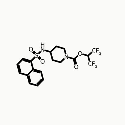 O=C(OC(C(F)(F)F)C(F)(F)F)N1CCC(NS(=O)(=O)c2cccc3ccccc23)CC1